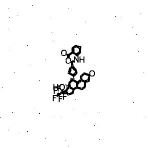 COC(=O)c1ccccc1NCc1ccc([C@H]2C[C@@]3(C)C(CC[C@@]3(O)C(F)(F)C(F)(F)F)C3CCC4=CC(=O)CCC4=C32)cc1